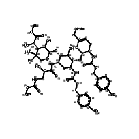 CC(=O)NCC1=CC[C@@H](NC(=O)OCc2ccc([N+](=O)[O-])cc2)[C@@H](O[C@H]2[C@H](O)[C@@H](O[C@H]3OC[C@](C)(O)[C@H](N(C)C(=O)OC(C)(C)C)[C@H]3O)[C@H](NC(=O)[C@H](O)CNC(=O)OC(C)(C)C)C[C@@H]2NC(=O)OCc2ccc([N+](=O)[O-])cc2)O1